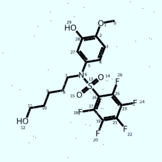 COc1ccc(N(CCCCCO)S(=O)(=O)c2c(F)c(F)c(F)c(F)c2F)cc1O